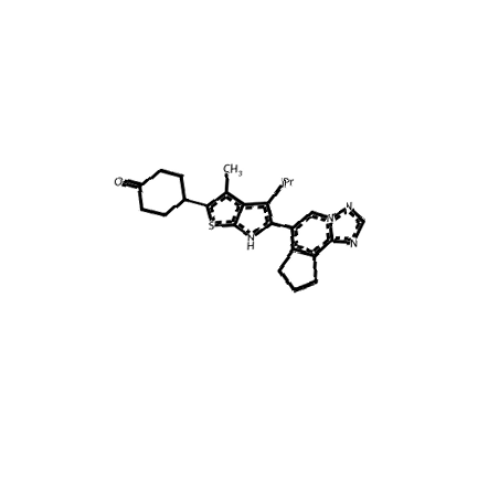 Cc1c(C2CCC(=O)CC2)sc2[nH]c(-c3cn4ncnc4c4c3CCC4)c(C(C)C)c12